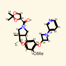 COc1ccc([C@@H]2CN(C(=O)[C@@H]3COC(C)(C)O3)C[C@@]2(C)[C@@H](C)O)cc1OC1CN(c2cccnc2)C1